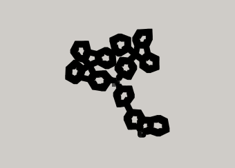 c1ccc(C2(c3ccc(N(c4ccc(-c5ccc6oc7ccccc7c6c5)cc4)c4ccc5c(c4)C4(c6ccccc6-c6ccccc64)c4ccccc4-5)cc3)c3ccccc3-c3ccccc32)cc1